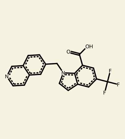 O=C(O)c1cc(C(F)(F)F)cc2ccn(Cc3ccc4cnccc4c3)c12